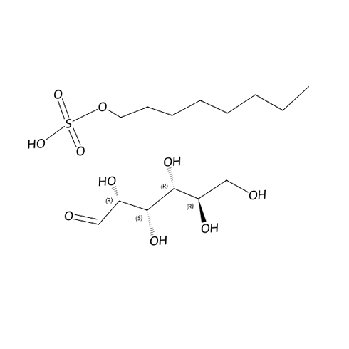 CCCCCCCCOS(=O)(=O)O.O=C[C@H](O)[C@@H](O)[C@H](O)[C@H](O)CO